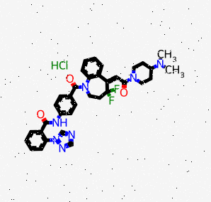 CN(C)C1CCN(C(=O)C=C2c3ccccc3N(C(=O)c3ccc(NC(=O)c4ccccc4-n4cncn4)cc3)CCC2(F)F)CC1.Cl